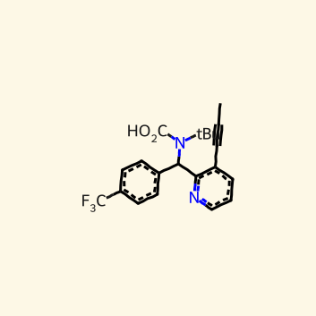 CC#Cc1cccnc1C(c1ccc(C(F)(F)F)cc1)N(C(=O)O)C(C)(C)C